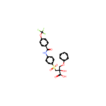 O=C(Nc1ccc(S(=O)(=O)CC(O)(COc2ccccc2)C(=O)O)cc1)c1ccc(OC(F)(F)F)cc1